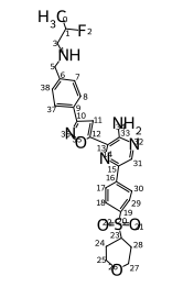 CC(F)CNCc1ccc(-c2cc(-c3nc(-c4ccc(S(=O)(=O)C5CCOCC5)cc4)cnc3N)on2)cc1